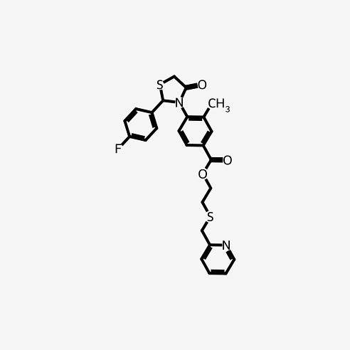 Cc1cc(C(=O)OCCSCc2ccccn2)ccc1N1C(=O)CSC1c1ccc(F)cc1